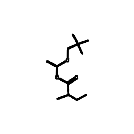 CCC(C)C(=O)OC(C)OCC(C)(C)C